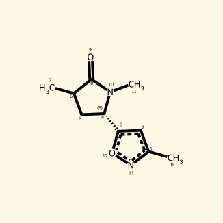 Cc1cc([C@@H]2CC(C)C(=O)N2C)on1